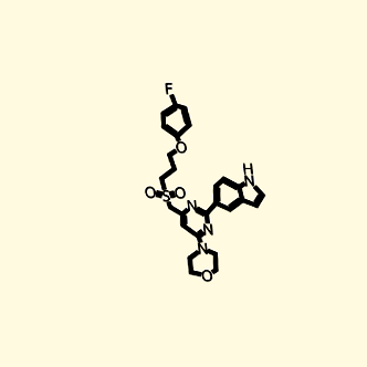 O=S(=O)(CCCOc1ccc(F)cc1)Cc1cc(N2CCOCC2)nc(-c2ccc3[nH]ccc3c2)n1